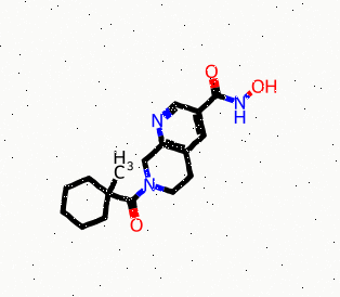 CC1(C(=O)N2CCc3cc(C(=O)NO)cnc3C2)CCCCC1